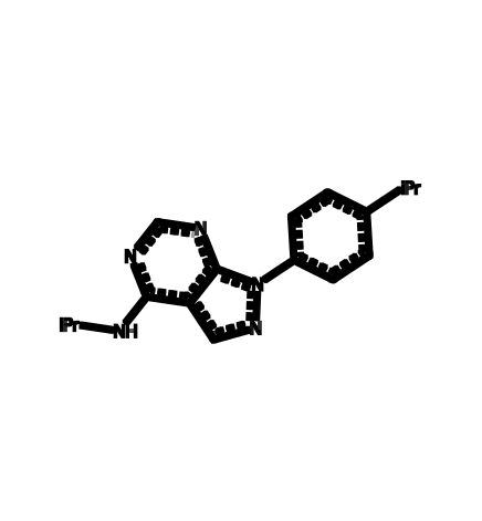 CC(C)Nc1ncnc2c1cnn2-c1ccc(C(C)C)cc1